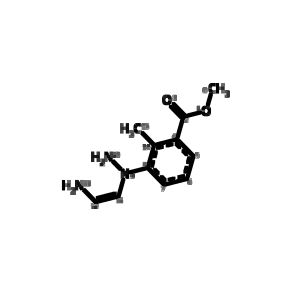 COC(=O)c1cccc(N(N)/C=C\N)c1C